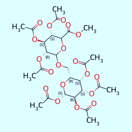 COC(=O)C1OC(OC[C@H]2O[C@@H](OC(C)=O)[C@H](OC(C)=O)[C@@H](OC(C)=O)[C@H]2OC(C)=O)[C@H](OC(C)=O)[C@@H](OC(C)=O)[C@@H]1OC(C)=O